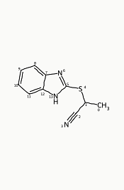 CC(C#N)Sc1nc2ccccc2[nH]1